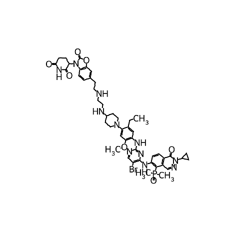 CCc1cc(Nc2ncc(Br)c(Nc3ccc4c(=O)n(C5CC5)ncc4c3P(C)(C)=O)n2)c(OC)cc1N1CCC(NCCNCCc2ccc3c(c2)oc(=O)n3C2CCC(=O)NC2=O)CC1